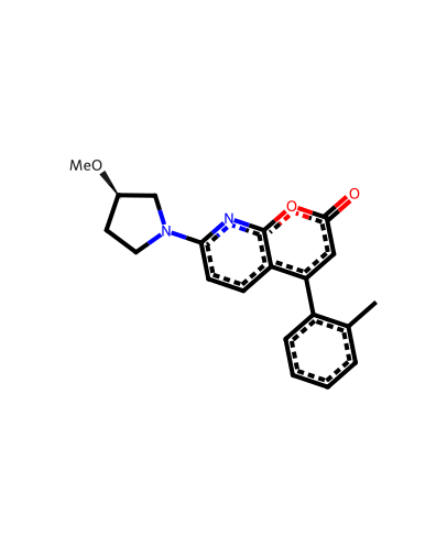 CO[C@@H]1CCN(c2ccc3c(-c4ccccc4C)cc(=O)oc3n2)C1